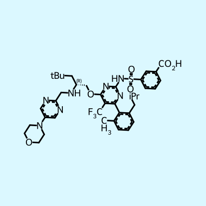 Cc1cccc(CC(C)C)c1-c1nc(NS(=O)(=O)c2cccc(C(=O)O)c2)nc(OC[C@@H](CC(C)(C)C)NCc2ncc(N3CCOCC3)cn2)c1C(F)(F)F